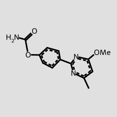 COc1cc(C)nc(-c2ccc(OC(N)=O)cc2)n1